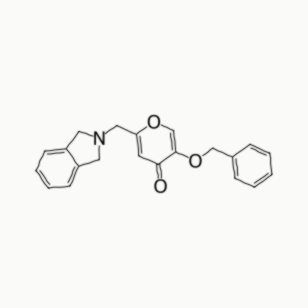 O=c1cc(CN2Cc3ccccc3C2)occ1OCc1ccccc1